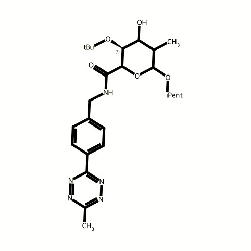 CCCC(C)OC1OC(C(=O)NCc2ccc(-c3nnc(C)nn3)cc2)[C@@H](OC(C)(C)C)C(O)C1C